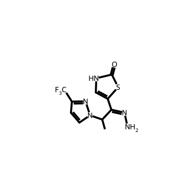 CC(C(=NN)c1c[nH]c(=O)s1)n1ccc(C(F)(F)F)n1